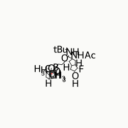 CC(=O)N[C@@]1(C(=O)NC(C)(C)C)C[C@H]2[C@H](F)[C@H](O)C[C@H]2[C@@H]1CCCB1O[C@@H]2C[C@@H]3C[C@@H](C3(C)C)[C@]2(C)O1